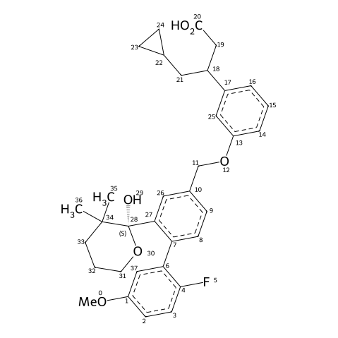 COc1ccc(F)c(-c2ccc(COc3cccc(C(CC(=O)O)CC4CC4)c3)cc2[C@@]2(O)OCCCC2(C)C)c1